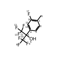 Cc1ccc(C(O)(C(F)(F)F)C(F)(F)F)cc1F